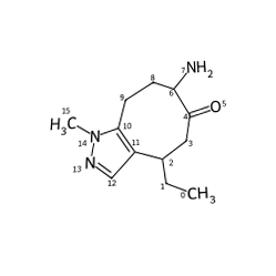 CCC1CC(=O)C(N)CCc2c1cnn2C